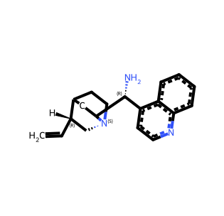 C=C[C@H]1C[N@@]2CCC1CC2[C@H](N)c1ccnc2ccccc12